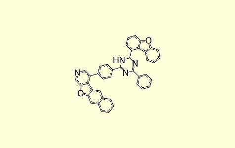 c1ccc(C2=NC(c3cccc4oc5ccccc5c34)NC(c3ccc(-c4cncc5oc6cc7ccccc7cc6c45)cc3)=N2)cc1